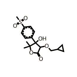 CC1(C)OC(=O)C(OCC2CC2)C1(O)c1ccc(S(C)(=O)=O)cc1